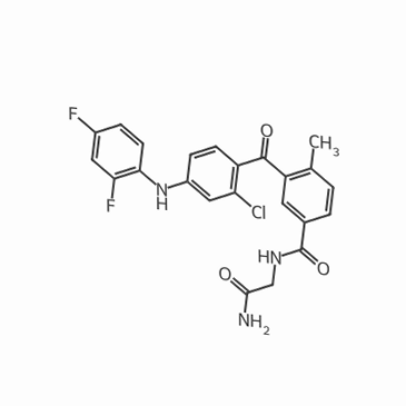 Cc1ccc(C(=O)NCC(N)=O)cc1C(=O)c1ccc(Nc2ccc(F)cc2F)cc1Cl